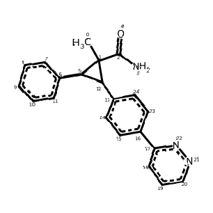 CC1(C(N)=O)C(c2ccccc2)C1c1ccc(-c2cccnn2)cc1